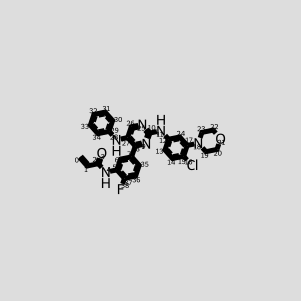 C=CC(=O)Nc1cc(-c2nc(Nc3ccc(Cl)c(N4CCOCC4)c3)ncc2Nc2ccccc2)ccc1F